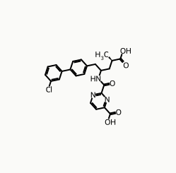 C[C@H](CC(Cc1ccc(-c2cccc(Cl)c2)cc1)NC(=O)c1nccc(C(=O)O)n1)C(=O)O